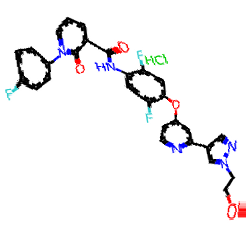 Cl.O=C(Nc1cc(F)c(Oc2ccnc(-c3cnn(CCO)c3)c2)cc1F)c1cccn(-c2ccc(F)cc2)c1=O